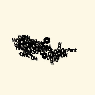 CCCCCC(=O)OC1C(O)C(CO)OC(OC2C(CO)OC(Oc3ccc(C[C@H](NC(=O)[C@@H](N)C(C)c4ccccc4)C(=O)N[C@H](C(=O)N[C@H](C(=O)N[C@H]([C]=O)CO)C(O)C4CNC(=N)N4C4OC(CO)C(O)C(O)C4O)C(O)C4CNC(=N)N4)cc3)C(O)C2O)C1O